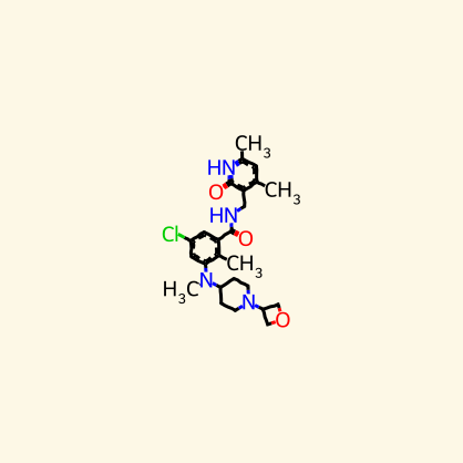 Cc1cc(C)c(CNC(=O)c2cc(Cl)cc(N(C)C3CCN(C4COC4)CC3)c2C)c(=O)[nH]1